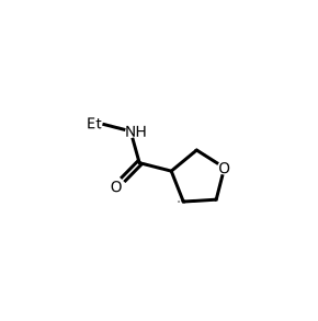 CCNC(=O)C1[CH]COC1